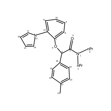 CCCN(CCC)C(=O)C(Oc1ccccc1-n1cccc1)c1ccc(C)cc1